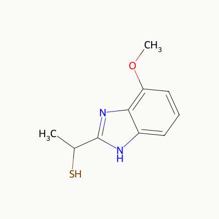 COc1cccc2[nH]c(C(C)S)nc12